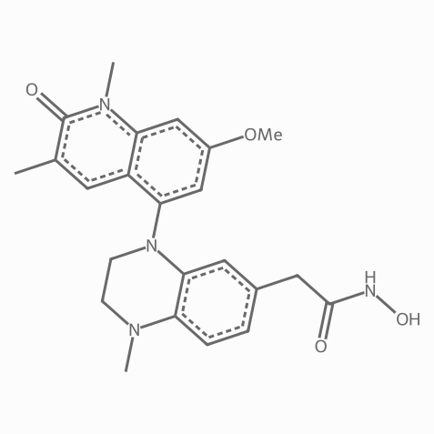 COc1cc(N2CCN(C)c3ccc(CC(=O)NO)cc32)c2cc(C)c(=O)n(C)c2c1